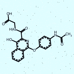 CC(=O)Nc1ccc(Oc2nc(C(=O)[AsH]CC(=O)O)c(O)c3ccccc23)cc1